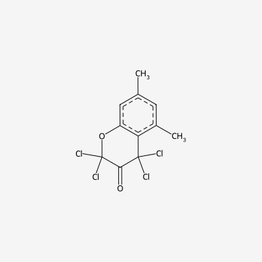 Cc1cc(C)c2c(c1)OC(Cl)(Cl)C(=O)C2(Cl)Cl